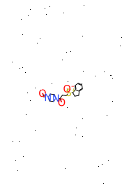 O=CN1CCN(C(=O)CC[S+]([O-])C2CCc3ccccc32)CC1